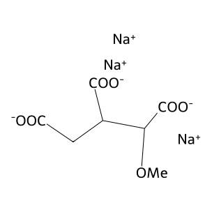 COC(C(=O)[O-])C(CC(=O)[O-])C(=O)[O-].[Na+].[Na+].[Na+]